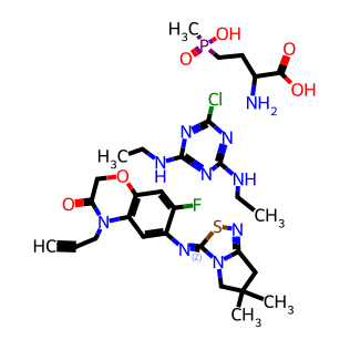 C#CCN1C(=O)COc2cc(F)c(/N=c3\snc4n3CC(C)(C)C4)cc21.CCNc1nc(Cl)nc(NCC)n1.CP(=O)(O)CCC(N)C(=O)O